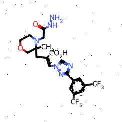 CC1(C/C(=C/n2cnc(-c3cc(C(F)(F)F)cc(C(F)(F)F)c3)n2)C(=O)O)COCCN1CC(=O)NN